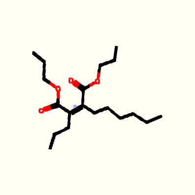 CCCCCC/C(C(=O)OCCC)=C(\CCC)C(=O)OCCC